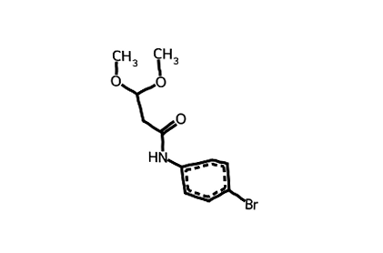 COC(CC(=O)Nc1ccc(Br)cc1)OC